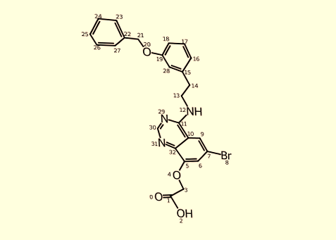 O=C(O)COc1cc(Br)cc2c(NCCc3cccc(OCc4ccccc4)c3)ncnc12